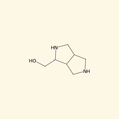 OC[C]1NCC2CNCC12